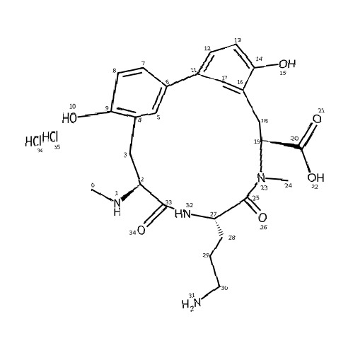 CN[C@H]1Cc2cc(ccc2O)-c2ccc(O)c(c2)C[C@@H](C(=O)O)N(C)C(=O)[C@H](CCCN)NC1=O.Cl.Cl